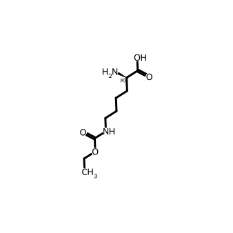 CCOC(=O)NCCCC[C@@H](N)C(=O)O